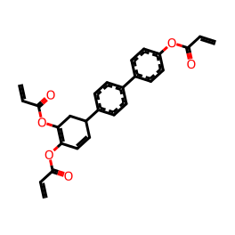 C=CC(=O)OC1=C(OC(=O)C=C)CC(c2ccc(-c3ccc(OC(=O)C=C)cc3)cc2)C=C1